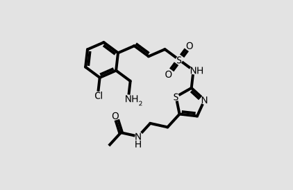 CC(=O)NCCc1cnc(NS(=O)(=O)CC=Cc2cccc(Cl)c2CN)s1